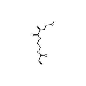 C=CC(=O)OCCOC(=O)C(=C)CCOC